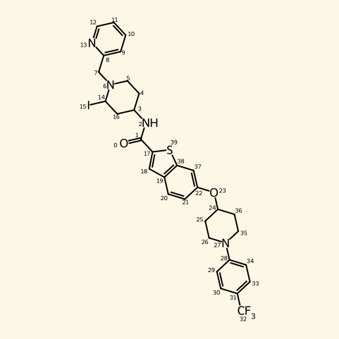 O=C(NC1CCN(Cc2ccccn2)C(I)C1)c1cc2ccc(OC3CCN(c4ccc(C(F)(F)F)cc4)CC3)cc2s1